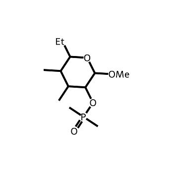 CCC1OC(OC)C(OP(C)(C)=O)C(C)C1C